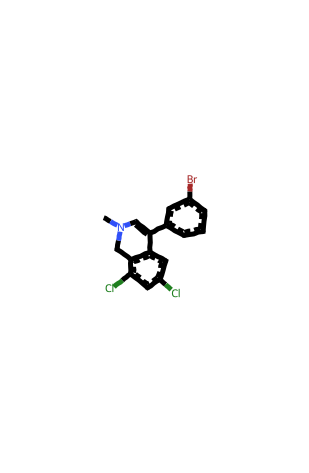 CN1C=C(c2cccc(Br)c2)c2cc(Cl)cc(Cl)c2C1